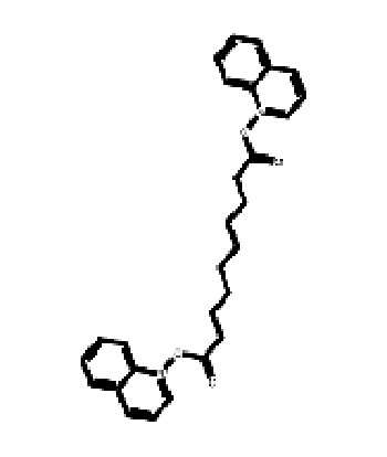 O=C(CCCCCCCCC(=O)O[n+]1cccc2ccccc21)O[n+]1cccc2ccccc21